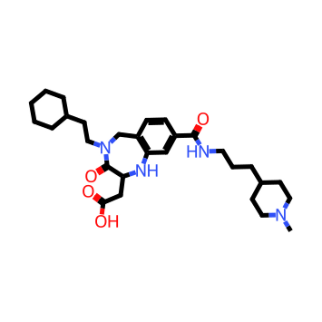 CN1CCC(CCCNC(=O)c2ccc3c(c2)NC(CC(=O)O)C(=O)N(CCC2CCCCC2)C3)CC1